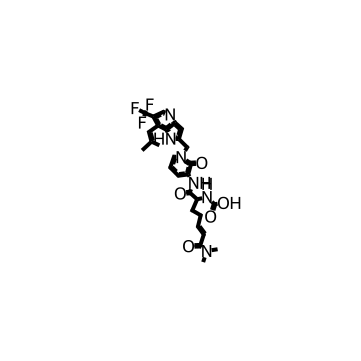 CC(C)=Cc1c(C(F)(F)F)cnc2cc(Cn3cccc(NC(=O)C(CCC=CC(=O)N(C)C)NC(=O)O)c3=O)[nH]c12